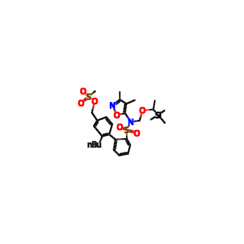 CCCCc1cc(COS(C)(=O)=O)ccc1-c1ccccc1S(=O)(=O)N(COC(C)[Si](C)(C)C)c1onc(C)c1C